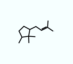 [CH2]C(C)=CCC1CCC(C)C1(C)C